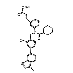 COC(=O)/C=C/c1cccc(N(Cc2ccc(-c3ccc4c(c3)ncn4C)cc2Cl)C(=O)C2CCCCC2)c1